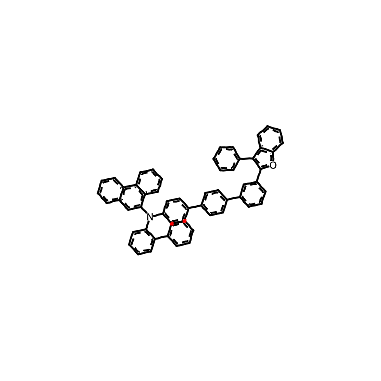 c1ccc(-c2ccccc2N(c2ccc(-c3ccc(-c4cccc(-c5oc6ccccc6c5-c5ccccc5)c4)cc3)cc2)c2cc3ccccc3c3ccccc23)cc1